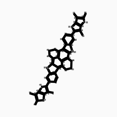 Cc1sc2c(C)c(-c3ccc4c(c3)oc3c5c6c(c7c(oc8cc(-c9sc%10c(C)c(C)sc%10c9C)ccc87)c7c6c(c34)CCC7)CCC5)sc2c1C